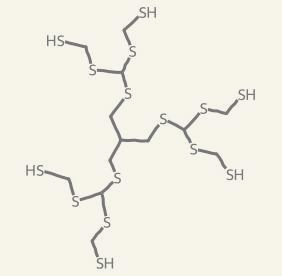 SCSC(SCS)SCC(CSC(SCS)SCS)CSC(SCS)SCS